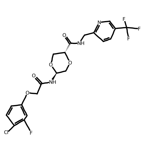 O=C(COc1ccc(Cl)c(F)c1)N[C@@H]1CO[C@@H](C(=O)NCc2ccc(C(F)(F)F)cn2)CO1